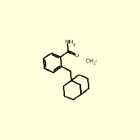 NC(=O)c1ccccc1CC12CCCC(CCC1)C2.[CH2]